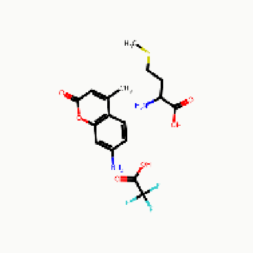 CSCCC(N)C(=O)O.Cc1cc(=O)oc2cc(N)ccc12.O=C(O)C(F)(F)F